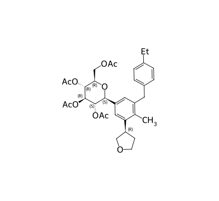 CCc1ccc(Cc2cc([C@@H]3O[C@H](COC(C)=O)[C@@H](OC(C)=O)[C@H](OC(C)=O)[C@H]3OC(C)=O)cc([C@H]3CCOC3)c2C)cc1